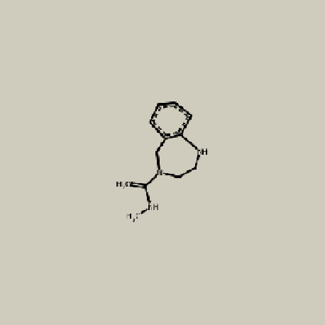 C=C(NC)N1CCNc2ccccc2C1